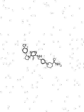 NC(=O)C1CCCN(c2ccc(CNc3ncnc(N4CCCC4c4ccc(C(F)(F)F)cc4)c3F)cc2)C1